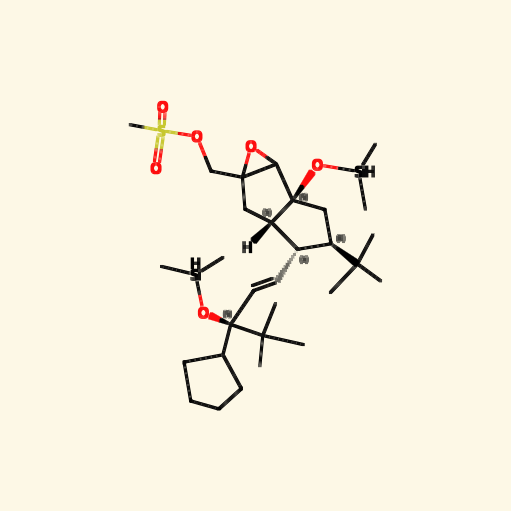 C[SiH](C)O[C@@]12C[C@@H](C(C)(C)C)[C@H](C=C[C@@](O[SiH](C)C)(C3CCCC3)C(C)(C)C)[C@@H]1CC1(COS(C)(=O)=O)OC12